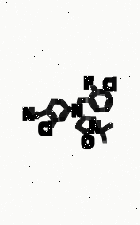 CC(C)N1C[C@@H](N(Cc2cccc(Cl)c2F)c2ccc(C#N)c(Cl)c2)CC1=O